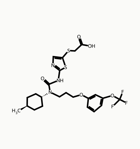 C[C@H]1CC[C@H](N(CCCOc2cccc(OC(F)(F)F)c2)C(=O)Nc2ncc(SCC(=O)O)s2)CC1